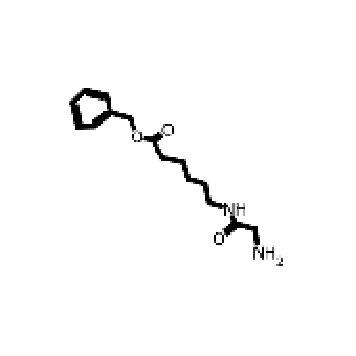 NCC(=O)NCCCCCC(=O)OCc1ccccc1